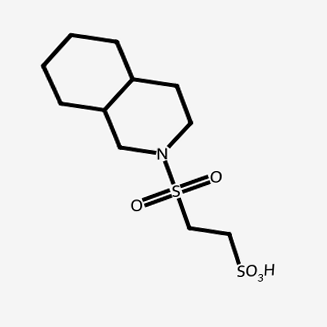 O=S(=O)(O)CCS(=O)(=O)N1CCC2CCCCC2C1